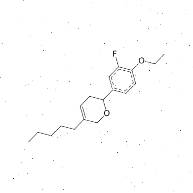 CCCCCC1=CCC(c2ccc(OCC)c(F)c2)OC1